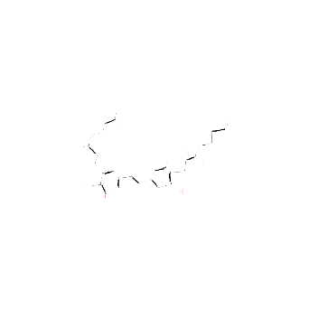 CC(C)=CCC/C(C)=C/Cc1cc(/C=C/c2cc(O)c(C/C=C(\C)CCC=C(C)C)c(O)c2)cc(O)c1O